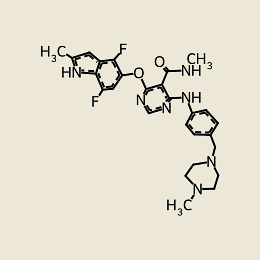 CNC(=O)c1c(Nc2ccc(CN3CCN(C)CC3)cc2)ncnc1Oc1cc(F)c2[nH]c(C)cc2c1F